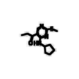 CCC(=O)c1cnc(SC)nc1NC1CCCC1